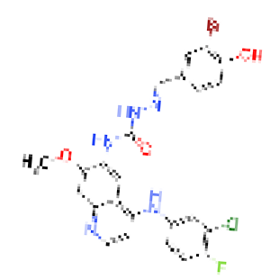 COc1cc2nccc(Nc3ccc(F)c(Cl)c3)c2cc1NC(=O)N/N=C/c1ccc(O)c(Br)c1